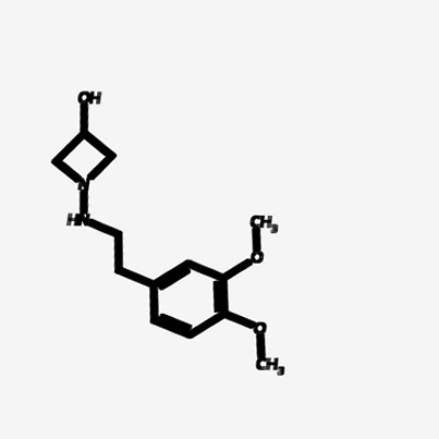 COc1ccc(CCNN2CC(O)C2)cc1OC